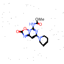 COC(=O)Nc1nc(N2CC=CCC2)cc2nc(=O)on12